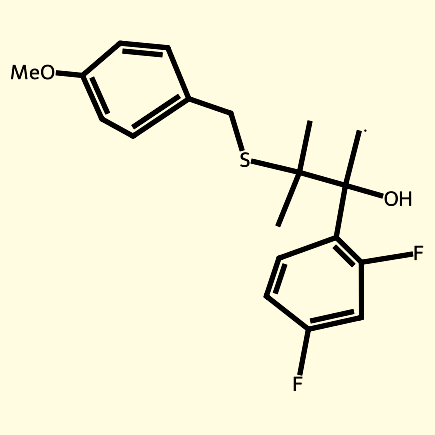 [CH2]C(O)(c1ccc(F)cc1F)C(C)(C)SCc1ccc(OC)cc1